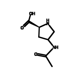 CC(=O)NC1CN[C@H](C(=O)O)C1